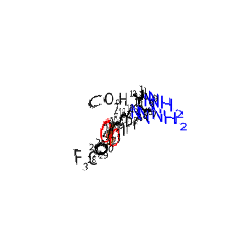 CC(=O)O.CCCC1=NC2=C(N)N(N)C(C)=C(C)C2N1CCCCCS(=O)(=O)c1ccc(C(F)(F)F)cc1